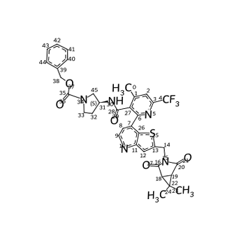 Cc1cc(C(F)(F)F)nc(-c2ccnc3cc(CN4C(=O)C5C(C4=O)C5(C)C)sc23)c1C(=O)N[C@H]1CCN(C(=O)OCc2ccccc2)C1